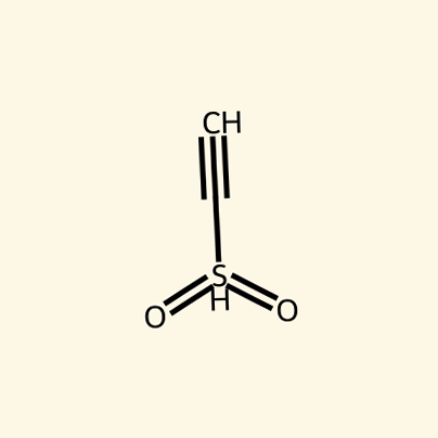 C#C[SH](=O)=O